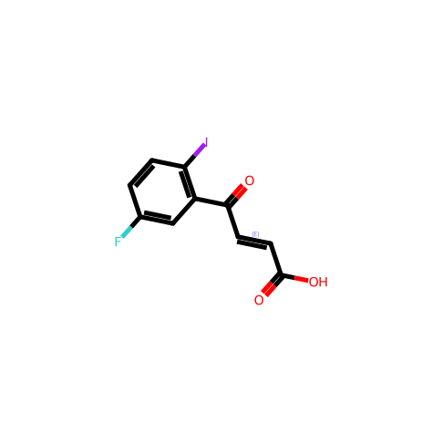 O=C(O)/C=C/C(=O)c1cc(F)ccc1I